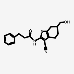 N#Cc1c(NC(=O)CCc2ccccc2)sc2c1CCC(CO)C2